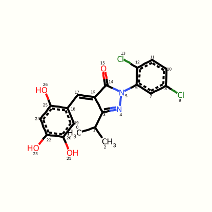 CC(C)C1=NN(c2cc(Cl)ccc2Cl)C(=O)/C1=C/c1cc(O)c(O)cc1O